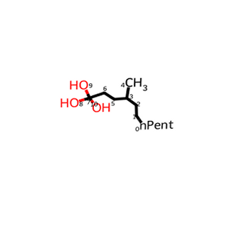 CCCCCCCC(C)CCC(O)(O)O